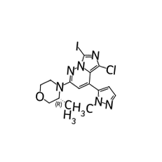 C[C@@H]1COCCN1c1cc(-c2ccnn2C)c2c(Cl)nc(I)n2n1